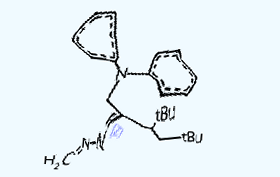 C=N/N=C(\CN(c1ccccc1)c1ccccc1)C(CC(C)(C)C)C(C)(C)C